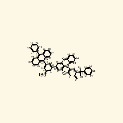 C=C/C(=C\C1=C(C)Sc2cc(-c3cc(-c4c5ccccc5c(-c5ccccc5)c5ccccc45)cc(C(C)(C)C)c3)cc3c2B1c1ccccc1S3)C(C)(C)c1ccccc1